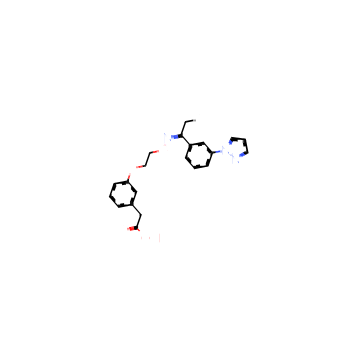 CCC(=NOCCOc1cccc(CC(=O)O)c1)c1cccc(-n2cccn2)c1